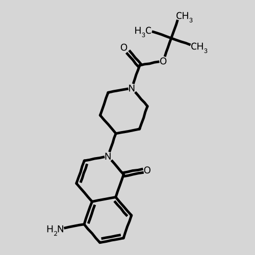 CC(C)(C)OC(=O)N1CCC(n2ccc3c(N)cccc3c2=O)CC1